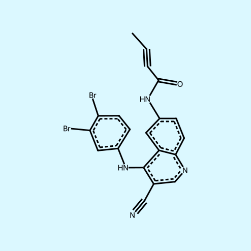 CC#CC(=O)Nc1ccc2ncc(C#N)c(Nc3ccc(Br)c(Br)c3)c2c1